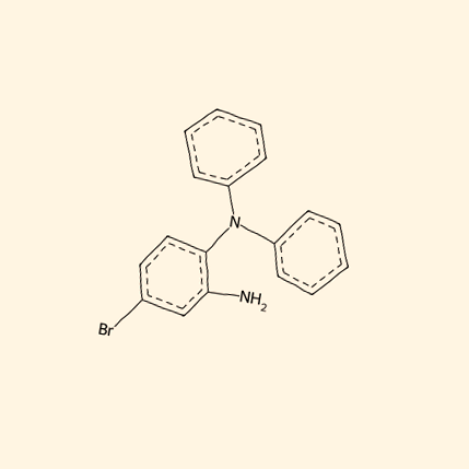 Nc1cc(Br)ccc1N(c1ccccc1)c1ccccc1